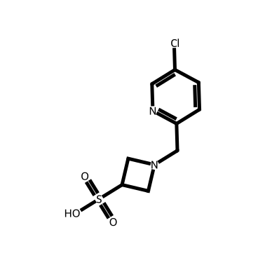 O=S(=O)(O)C1CN(Cc2ccc(Cl)cn2)C1